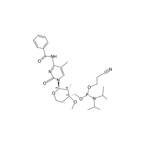 CO[C@@]1(COP(OCCC#N)N(C(C)C)C(C)C)CCO[C@@H](n2cc(C)c(NC(=O)c3ccccc3)nc2=O)[C@@H]1C